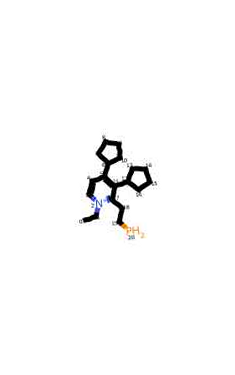 CC[n+]1ccc(C2CCCC2)c(C2CCCC2)c1CCP